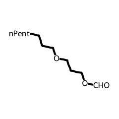 CCCCCCCCOCCCOC=O